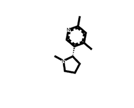 Cc1cc(C)c([C@@H]2CCCN2C)cn1